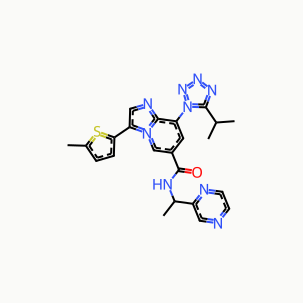 Cc1ccc(-c2cnc3c(-n4nnnc4C(C)C)cc(C(=O)NC(C)c4cnccn4)cn23)s1